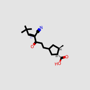 C[C@@H]1CC(CCC(=O)/C(C#N)=C/C(C)(C)C)C[C@H]1C(=O)O